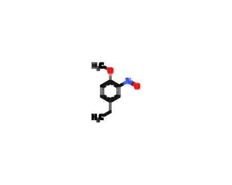 CCc1ccc(OC)c(N=O)c1